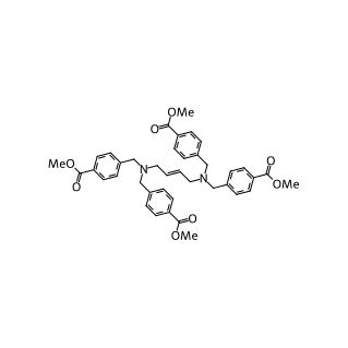 COC(=O)c1ccc(CN(CC=CCN(Cc2ccc(C(=O)OC)cc2)Cc2ccc(C(=O)OC)cc2)Cc2ccc(C(=O)OC)cc2)cc1